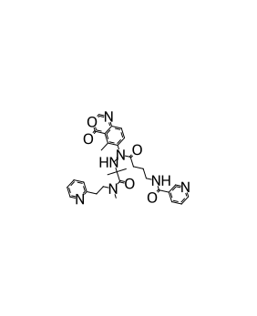 Cc1c(N(NC(C)(C)C(=O)N(C)CCc2ccccn2)C(=O)CCCNC(=O)c2cccnc2)ccc2ncoc(=O)c12